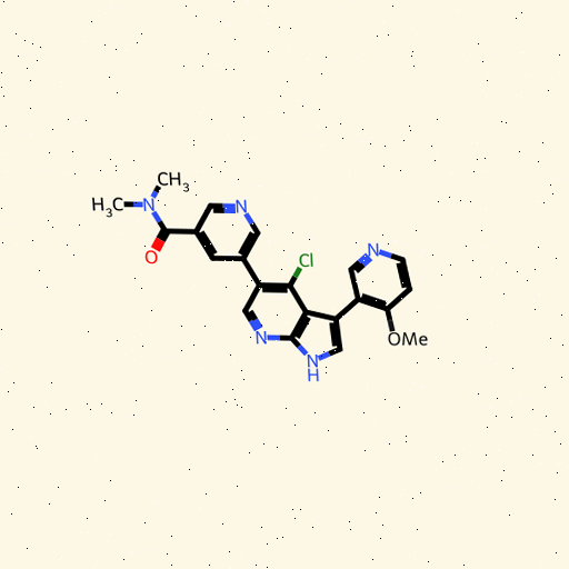 COc1ccncc1-c1c[nH]c2ncc(-c3cncc(C(=O)N(C)C)c3)c(Cl)c12